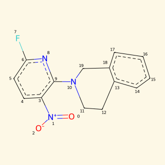 O=[N+]([O-])c1ccc(F)nc1N1CCc2ccccc2C1